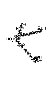 C[C@H]1O[C@@H](OCCOCCOCCOCC(=O)NCCCC[C@H](NC(=O)[C@H](CCCCNC(=O)CO)NC(=O)COCCOCCOCCO[C@H]2CC[C@@H](O)[C@@H](C)O2)C(=O)O)C[C@@H](O)[C@H]1O